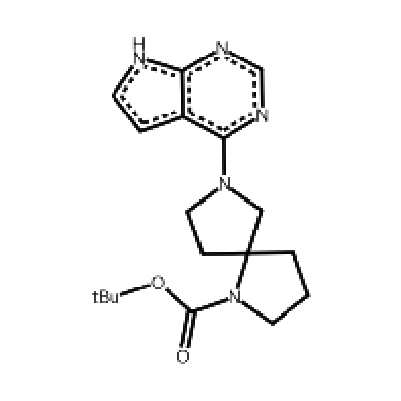 CC(C)(C)OC(=O)N1CCCC12CCN(c1ncnc3[nH]ccc13)C2